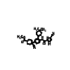 COC(=O)C1CCC(C#N)(c2ccc(NC(=O)c3nc(C#N)c[nH]3)c(C3=CCC(C)(C)CC3)c2)CC1